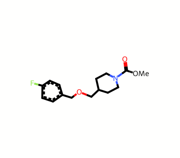 COC(=O)N1CCC(COCc2ccc(F)cc2)CC1